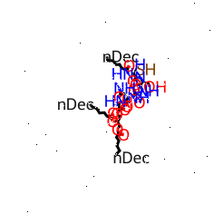 CCCCCCCCCCCCCCCC(=O)N[C@@H](CS)C(=O)N[C@@H](CO)C(=O)N[C@@H](CO)C(=O)N[C@@H](CC(N)=O)C(=O)N[C@@H](C)C(=O)OCC(COC(=O)CCCCCCCCCCCCCCC)OC(=O)CCCCCCCCCCCCCCC